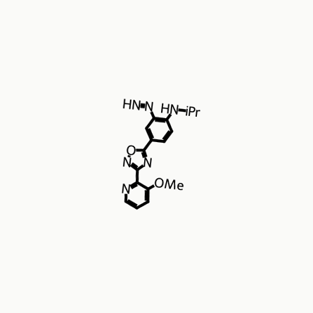 COc1cccnc1-c1noc(-c2ccc(NC(C)C)c(N=N)c2)n1